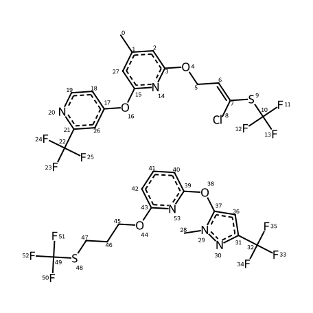 Cc1cc(OCC=C(Cl)SC(F)(F)F)nc(Oc2ccnc(C(F)(F)F)c2)c1.Cn1nc(C(F)(F)F)cc1Oc1cccc(OCCCSC(F)(F)F)n1